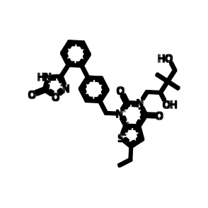 CCc1cc2c(=O)n(CC(O)C(C)(C)CO)c(=O)n(Cc3ccc(-c4ccccc4-c4noc(=O)[nH]4)cc3)c2s1